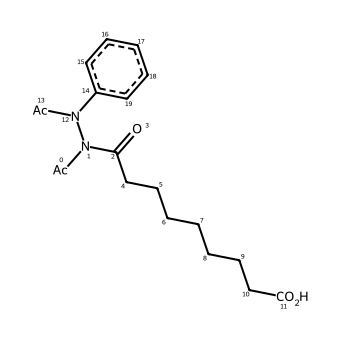 CC(=O)N(C(=O)CCCCCCCC(=O)O)N(C(C)=O)c1ccccc1